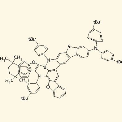 CC(C)(C)c1ccc(N2B3c4oc5cc6c(cc5c4N(c4ccc(C(C)(C)C)cc4-c4ccccc4)c4c3c(cc3c4oc4ccccc43)-c3cc4c(cc32)sc2cc(N(c3ccc(C(C)(C)C)cc3)c3ccc(C(C)(C)C)cc3)ccc24)C(C)(C)CCC6(C)C)cc1